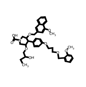 CCC(O)COC1CN(C(=O)O)CC(OCc2cc(OC)c3ccccc3c2)C1c1ccc(OCCCOCc2ccccc2OC)cc1